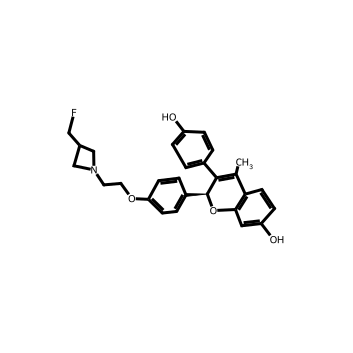 CC1=C(c2ccc(O)cc2)[C@H](c2ccc(OCCN3CC(CF)C3)cc2)Oc2cc(O)ccc21